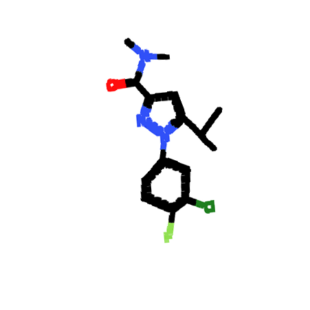 CC(C)c1cc(C(=O)N(C)C)nn1-c1ccc(F)c(Cl)c1